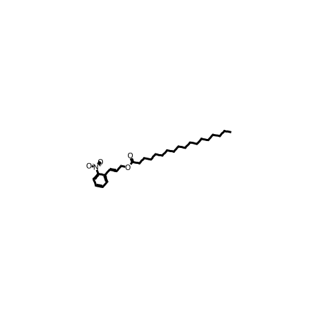 CCCCCCCCCCCCCCCCCC(=O)OC/C=C/c1ccccc1[N+](=O)[O-]